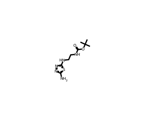 CC(C)(C)OC(=O)NCCNc1nnc(N)s1